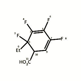 CCC1(F)C(F)=C(F)C(F)=CC1C(=O)O